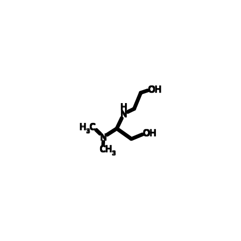 CN(C)C(CO)NCCO